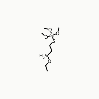 CCO[SiH2]CCS[Si](OC)(OC)OC